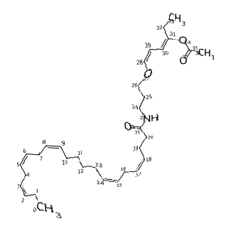 CC/C=C\C/C=C\C/C=C\CCCC/C=C\C/C=C\CCC(=O)NCCCO/C=C\C=C(/CC)OC(C)=O